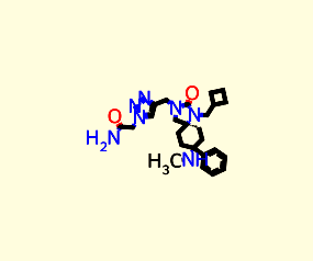 CN[C@]1(c2ccccc2)CC[C@]2(CC1)CN(Cc1cn(CC(N)=O)nn1)C(=O)N2CC1CCC1